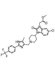 COC(=O)Cn1c(=O)n(C2CCN(Cc3nc(-c4ccc(C(F)(F)F)cc4)[nH]c3C)CC2)c2ccc(Cl)cc21